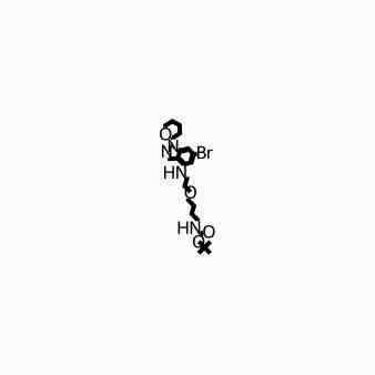 CC(C)(C)OC(=O)NCCCCOCCNc1cc(Br)cc2c1cnn2C1CCCCO1